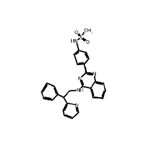 CS(=O)(=O)Nc1ccc(-c2nc(NCC(c3ccccc3)c3ccccn3)c3ccccc3n2)cc1